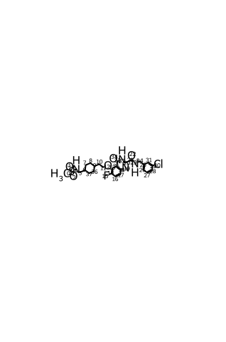 CS(=O)(=O)NCC1CCC(CCOc2c(F)ccc3nc(C(=O)NCc4cccc(Cl)c4)[nH]c(=O)c23)CC1